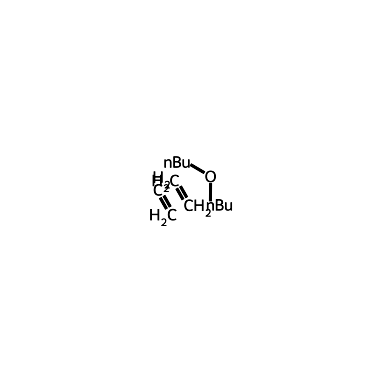 C=C.C=C.CCCCOCCCC